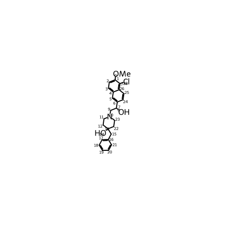 COc1ccc2cc(C(O)CN3CCC(O)(Cc4ccccc4)CC3)ccc2c1Cl